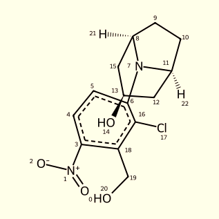 O=[N+]([O-])c1ccc(N2[C@@H]3CC[C@H]2C[C@@H](O)C3)c(Cl)c1CO